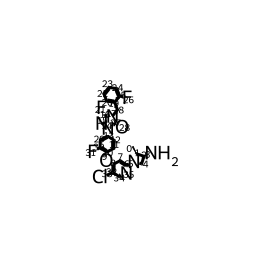 C[C@H]1[C@@H](N)CN1c1cc(Oc2ccc(-n3ncn(Cc4c(F)cccc4F)c3=O)cc2F)c(Cl)cn1